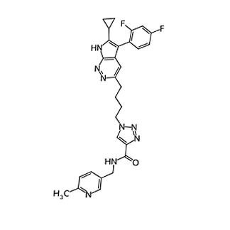 Cc1ccc(CNC(=O)c2cn(CCCCc3cc4c(-c5ccc(F)cc5F)c(C5CC5)[nH]c4nn3)nn2)cn1